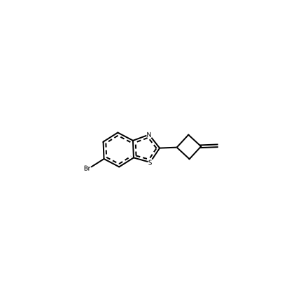 C=C1CC(c2nc3ccc(Br)cc3s2)C1